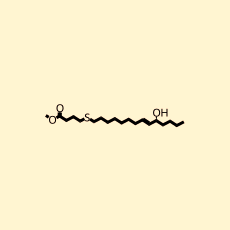 CCCC[C@@H](O)C=CCCCCCCCSCCCC(=O)OC